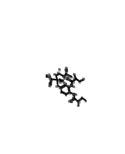 CCC(C)C(=O)Oc1ccc(CC(N)(C[C@H](C)OC(C)=O)C(=O)O)cc1OC(=O)C(C)CC